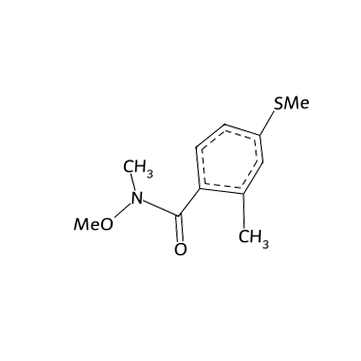 CON(C)C(=O)c1ccc(SC)cc1C